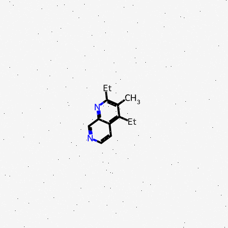 CCc1nc2cnccc2c(CC)c1C